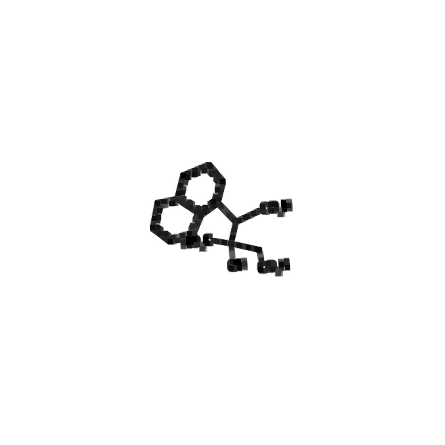 O=C(O)CC(O)(C(=O)O)C(C(=O)O)c1cccc2cccnc12